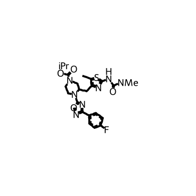 CNC(=O)Nc1nc(CC2CN(C(=O)OC(C)C)CCN2c2nc(-c3ccc(F)cc3)no2)c(C)s1